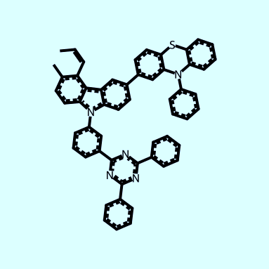 C/C=C\c1c(C)ccc2c1c1cc(-c3ccc4c(c3)N(c3ccccc3)c3ccccc3S4)ccc1n2-c1cccc(-c2nc(-c3ccccc3)nc(-c3ccccc3)n2)c1